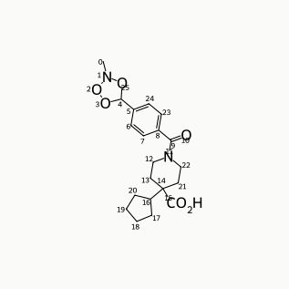 CN1OOC(c2ccc(C(=O)N3CCC(C(=O)O)(C4CCCC4)CC3)cc2)O1